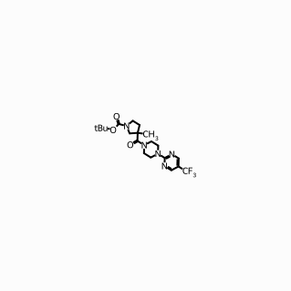 CC(C)(C)OC(=O)N1CCC(C)(C(=O)N2CCN(c3ncc(C(F)(F)F)cn3)CC2)C1